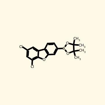 CC1(C)OB(c2ccc3c(c2)oc2c(Cl)cc(Cl)cc23)OC1(C)C